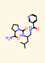 CC(C)CC(CNC(=O)c1cccnc1)NC(=O)N1CCCC1C(N)=O